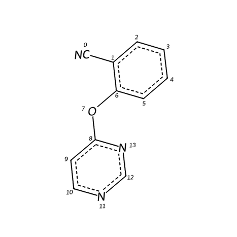 N#Cc1ccccc1Oc1ccncn1